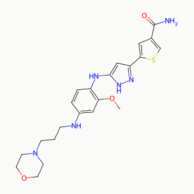 COc1cc(NCCCN2CCOCC2)ccc1Nc1cc(-c2cc(C(N)=O)cs2)n[nH]1